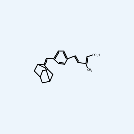 CC(C=Cc1ccc(C=C2C3CC4CC(C3)CC2C4)cc1)=CC(=O)O